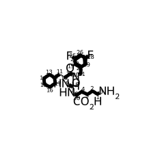 NCCCC[C@H](NC(=O)N[C@H](CC1CCCCC1)C(=O)NCc1cc(F)cc(F)c1)C(=O)O